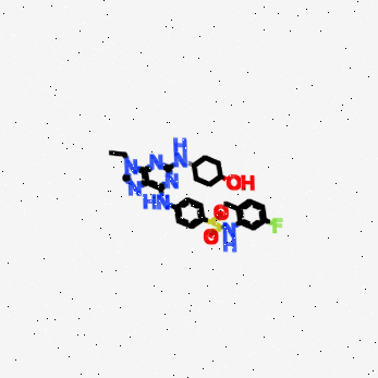 CCn1cnc2c(Nc3ccc(S(=O)(=O)Nc4cc(F)ccc4C)cc3)nc(N[C@H]3CC[C@H](O)CC3)nc21